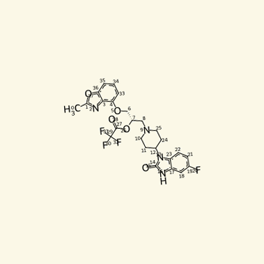 Cc1nc2c(OC[C@H](CN3CCC(n4c(=O)[nH]c5cc(F)ccc54)CC3)OC(=O)C(F)(F)F)cccc2o1